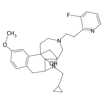 COc1ccc2c(c1)C13CCN(CCc4ncccc4F)CCC1(O)C(C2)N(CC1CC1)CC3